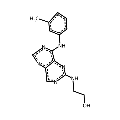 Cc1cccc(Nc2ncnc3cnc(NCCO)nc23)c1